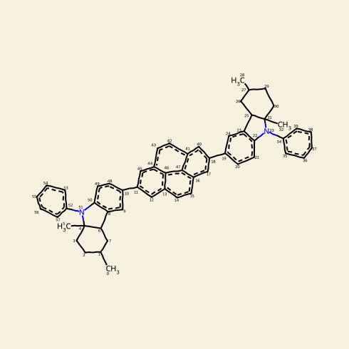 CC1CCC2(C)C(C1)c1cc(-c3cc4ccc5cc(-c6ccc7c(c6)C6CC(C)CCC6(C)N7c6ccccc6)cc6ccc(c3)c4c56)ccc1N2c1ccccc1